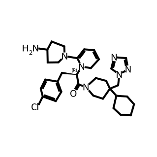 NC1CCN(C2=CC=CCN2[C@H](Cc2ccc(Cl)cc2)C(=O)N2CCC(Cn3cncn3)(C3CCCCC3)CC2)CC1